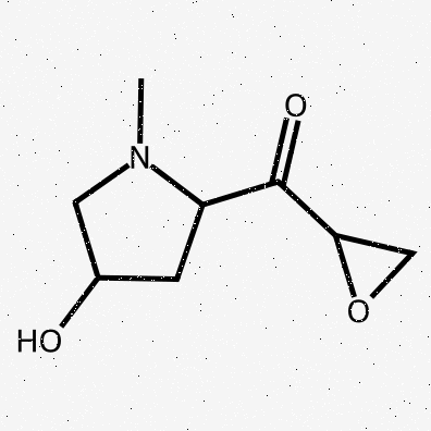 CN1CC(O)CC1C(=O)C1CO1